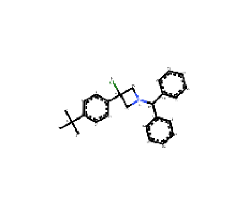 CC(C)(C)c1ccc(C2(Cl)CN(C(c3ccccc3)c3ccccc3)C2)cc1